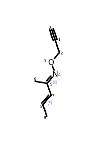 C#CCO/N=C(C)/C=C/C